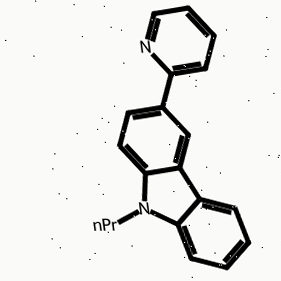 CCCn1c2ccccc2c2cc(-c3ccccn3)ccc21